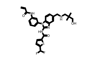 C=CC(=O)Nc1cccc(-n2c(NC(=O)c3ccc(C(F)F)s3)nc3cc(CNCC(C)(C)CO)ccc32)c1